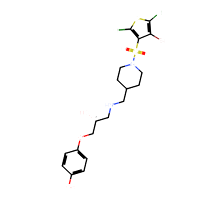 O=S(=O)(c1c(Cl)sc(Cl)c1Br)N1CCC(CNC[C@@H](O)COc2ccc(O)cc2)CC1